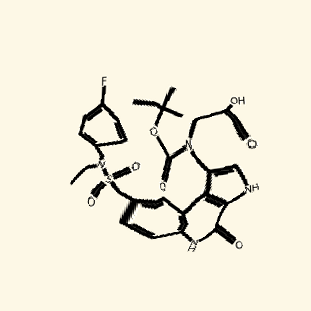 CN(c1ccc(F)cc1)S(=O)(=O)c1ccc2[nH]c(=O)c3[nH]cc(N(CC(=O)O)C(=O)OC(C)(C)C)c3c2c1